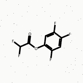 O=C(Oc1cc(F)c(F)cc1F)C(F)F